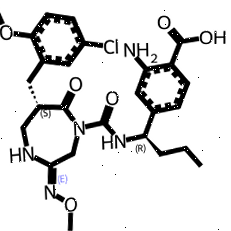 CCC[C@@H](NC(=O)N1C/C(=N\OC)NC[C@H](Cc2cc(Cl)ccc2OC)C1=O)c1ccc(C(=O)O)c(N)c1